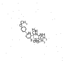 COc1ccc(-c2ccc(F)c(C3(C)CS(=O)(=O)C(C)(C)C(=N)N3)n2)cc1